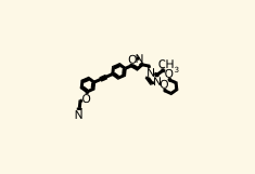 CC(OC1CCCCO1)c1nccn1Cc1cc(-c2ccc(C#Cc3cccc(OCC#N)c3)cc2)on1